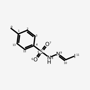 Cc1ccc(S(=O)(=O)N/N=C/I)cc1